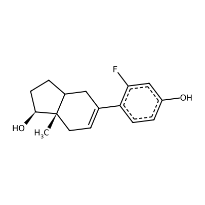 C[C@]12CC=C(c3ccc(O)cc3F)CC1CC[C@@H]2O